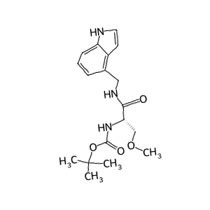 COC[C@H](NC(=O)OC(C)(C)C)C(=O)NCc1cccc2[nH]ccc12